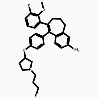 COc1c(F)cccc1C1=C(c2ccc(OC3CCN(CCCF)C3)cc2)c2ccc(N)cc2CCC1